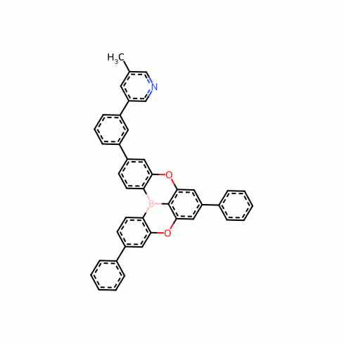 Cc1cncc(-c2cccc(-c3ccc4c(c3)Oc3cc(-c5ccccc5)cc5c3B4c3ccc(-c4ccccc4)cc3O5)c2)c1